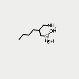 CCCCC(CN)C[SiH](O)O